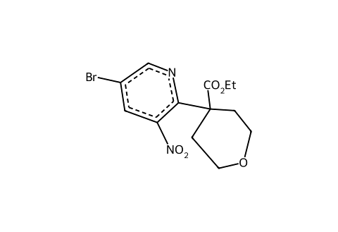 CCOC(=O)C1(c2ncc(Br)cc2[N+](=O)[O-])CCOCC1